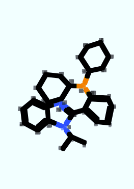 CC(C)n1c(-c2ccccc2P(C2CCCCC2)C2CCCCC2)nc2ccccc21